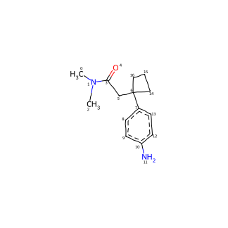 CN(C)C(=O)CC1(c2ccc(N)cc2)CCC1